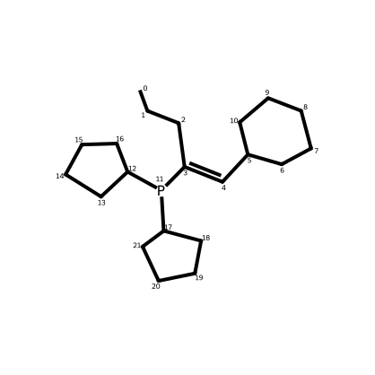 CCC/C(=C\C1CCCCC1)P(C1CCCC1)C1CCCC1